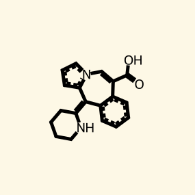 O=C(O)C1=Cn2cccc2C(=C2CCCCN2)c2ccccc21